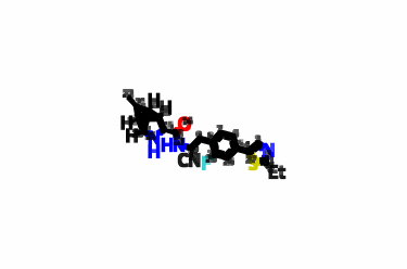 CCc1ncc(-c2ccc(C[C@@H](C#N)NC(=O)[C@H]3N[C@H]4C[C@@H]3[C@@H]3[C@H](C)[C@@H]34)c(F)c2)s1